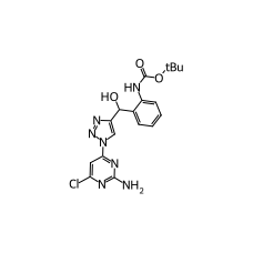 CC(C)(C)OC(=O)Nc1ccccc1C(O)c1cn(-c2cc(Cl)nc(N)n2)nn1